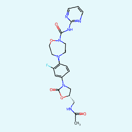 CC(=O)NC[C@H]1CN(c2ccc(N3CCON(C(=O)Nc4ncccn4)CC3)c(F)c2)C(=O)O1